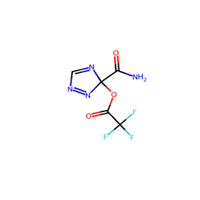 NC(=O)C1(OC(=O)C(F)(F)F)N=CN=N1